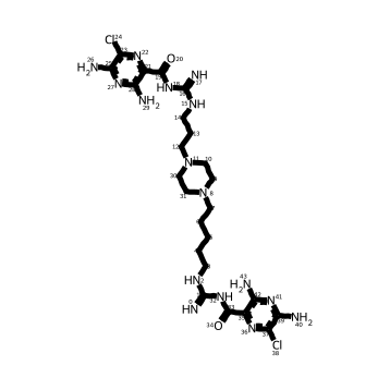 N=C(NCCCCCN1CCN(CCCNC(=N)NC(=O)c2nc(Cl)c(N)nc2N)CC1)NC(=O)c1nc(Cl)c(N)nc1N